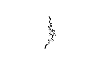 C=CCSSC1=NCN(SSCC=C)S1